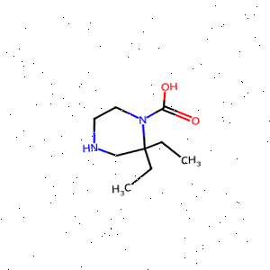 CCC1(CC)CNCCN1C(=O)O